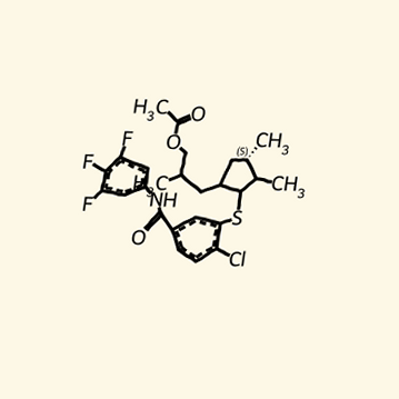 CC(=O)OCC(C)CC1C[C@H](C)C(C)C1Sc1cc(C(=O)Nc2cc(F)c(F)c(F)c2)ccc1Cl